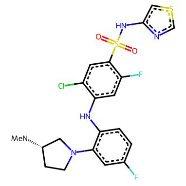 CN[C@H]1CCN(c2cc(F)ccc2Nc2cc(F)c(S(=O)(=O)Nc3cscn3)cc2Cl)C1